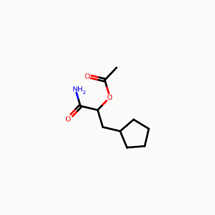 CC(=O)OC(CC1CCCC1)C(N)=O